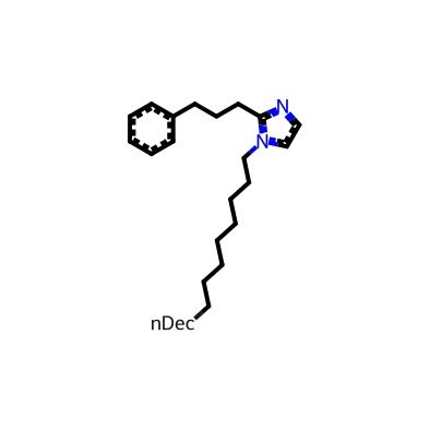 CCCCCCCCCCCCCCCCCCn1ccnc1CCCc1ccccc1